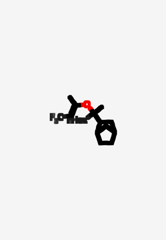 CCCCCCC(C)(OC(C)=CC(F)(F)F)C1CC2CCC1C2